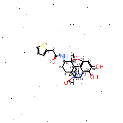 O=C(Cc1cccs1)N[C@@H]1CC[C@H]2[C@H]3Cc4c(O)c(O)cc5c4[C@@]2(CC[NH+]3[O-])[C@H]1O5